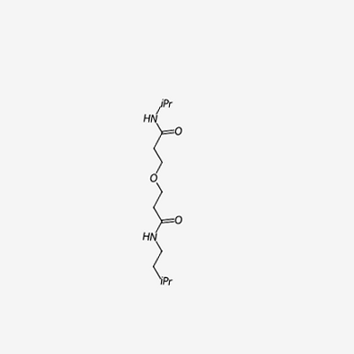 CC(C)CCNC(=O)CCOCCC(=O)NC(C)C